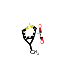 CC1c2cscc21.[O]=[Ti]=[O]